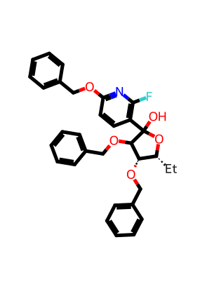 CC[C@H]1OC(O)(c2ccc(OCc3ccccc3)nc2F)C(OCc2ccccc2)[C@H]1OCc1ccccc1